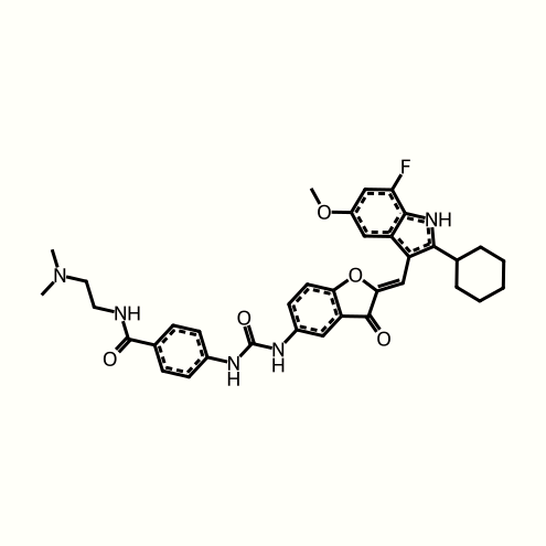 COc1cc(F)c2[nH]c(C3CCCCC3)c(C=C3Oc4ccc(NC(=O)Nc5ccc(C(=O)NCCN(C)C)cc5)cc4C3=O)c2c1